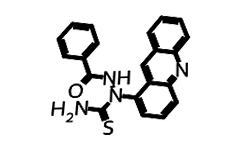 NC(=S)N(NC(=O)c1ccccc1)c1cccc2nc3ccccc3cc12